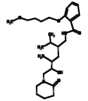 COCCCCOc1ccccc1C(=O)NCC(CC(N)C(O)CN1CCCCC1=O)C(C)C